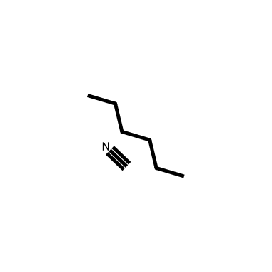 C#N.CCCCCC